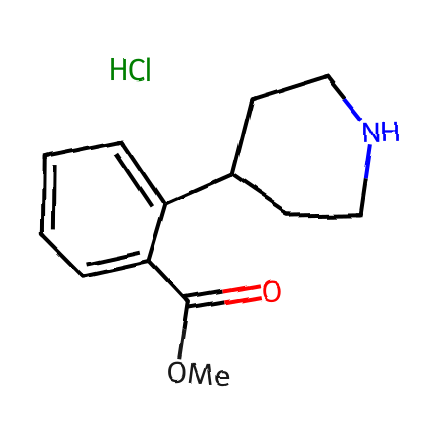 COC(=O)c1ccccc1C1CCNCC1.Cl